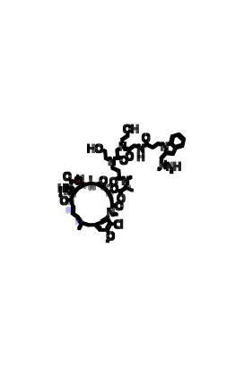 CNN(C)Cc1cc2ccccc2n1CCC(=O)NCC(=O)N(CCO)CC(=O)N(CCO)CCC(=O)N(C)[C@@H](C)C(=O)O[C@H]1CC(=O)N(C)c2cc(cc(OC)c2Cl)C/C(C)=C/C=C/[C@@H](OC)[C@@]2(O)C[C@H](OC(=O)N2)[C@@H](C)C2O[C@]21C